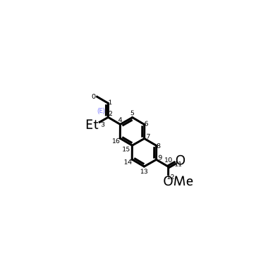 C/C=C(\CC)c1ccc2cc(C(=O)OC)ccc2c1